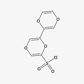 O=S(=O)(Cl)C1=COC=C(C2=COC=CO2)O1